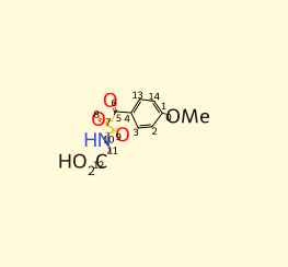 COc1ccc(C(=O)S(=O)(=O)NCC(=O)O)cc1